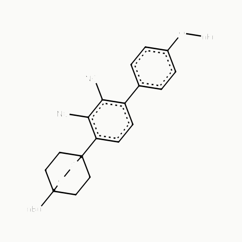 CCCCC12CCC(c3ccc(-c4ccc(OCCC)cc4)c(C#N)c3C#N)(CC1)CC2